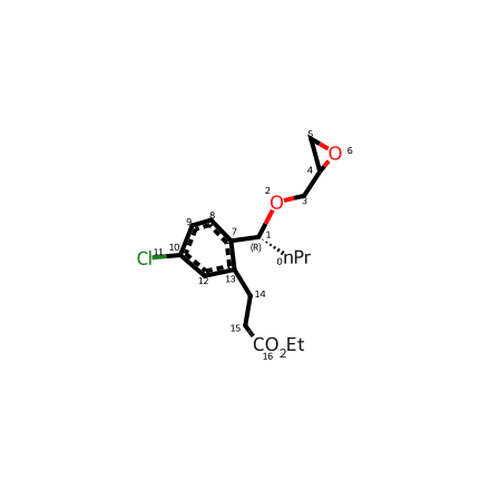 CCC[C@@H](OCC1CO1)c1ccc(Cl)cc1CCC(=O)OCC